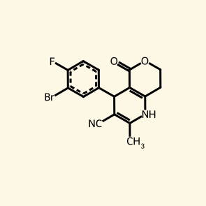 CC1=C(C#N)C(c2ccc(F)c(Br)c2)C2=C(CCOC2=O)N1